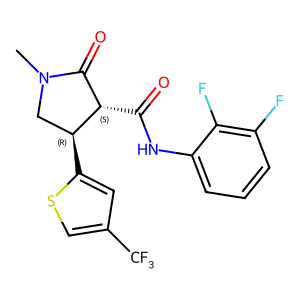 CN1C[C@H](c2cc(C(F)(F)F)cs2)[C@@H](C(=O)Nc2cccc(F)c2F)C1=O